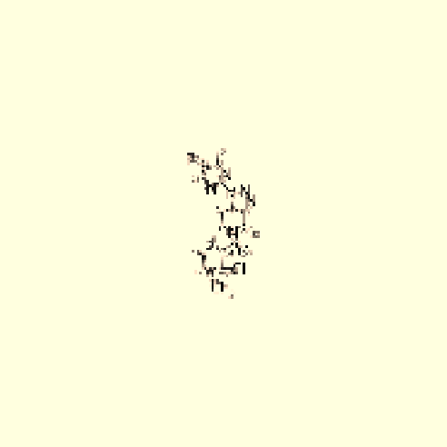 Cc1nc(-n2nnc3c2CCN(C(=O)c2cccc(C(F)(F)F)c2Cl)[C@H]3C)ncc1F